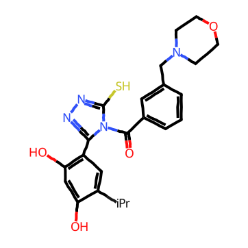 CC(C)c1cc(-c2nnc(S)n2C(=O)c2cccc(CN3CCOCC3)c2)c(O)cc1O